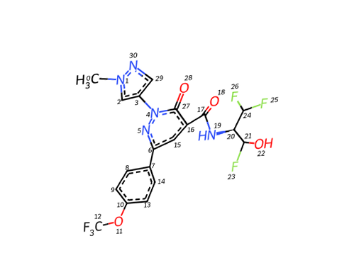 Cn1cc(-n2nc(-c3ccc(OC(F)(F)F)cc3)cc(C(=O)N[C@H](C(O)F)C(F)F)c2=O)cn1